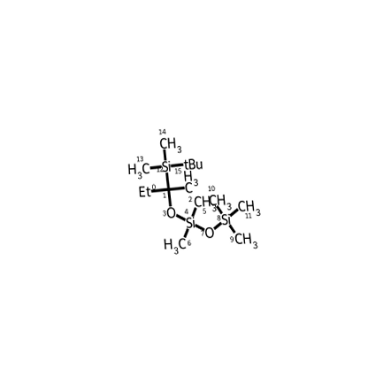 CCC(C)(O[Si](C)(C)O[Si](C)(C)C)[Si](C)(C)C(C)(C)C